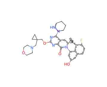 C#Cc1c(F)ccc2cc(O)cc(-n3c(C(F)(F)F)cc4c(N5CC6CCC5CN6)nc(OCC5(CN6CCOCC6)CC5)nc4c3=O)c12